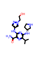 CC(C)c1nc(C(N)=O)c(Nc2cnn(CCO)c2)nc1N[C@@H]1CCNC1